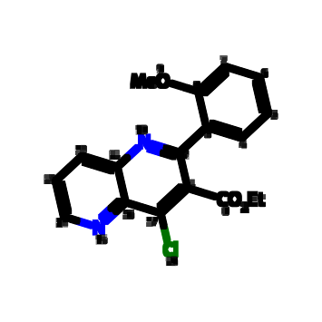 CCOC(=O)c1c(-c2ccccc2OC)nc2cccnc2c1Cl